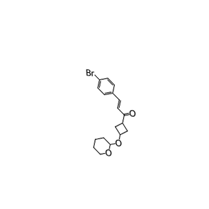 O=C(/C=C/c1ccc(Br)cc1)C1CC(OC2CCCCO2)C1